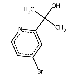 CC(C)(O)c1cc(Br)ccn1